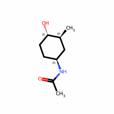 CC(=O)N[C@H]1CC[C@H](O)[C@@H](C)C1